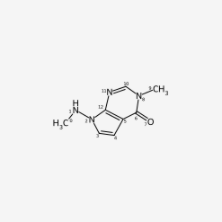 CNn1ccc2c(=O)n(C)cnc21